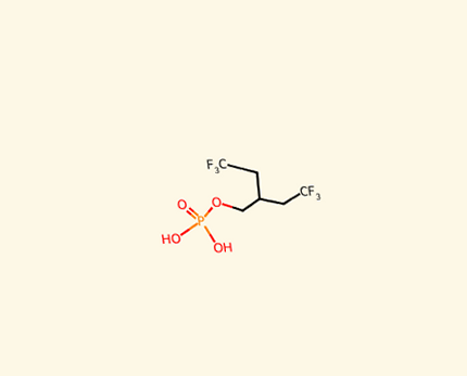 O=P(O)(O)OCC(CC(F)(F)F)CC(F)(F)F